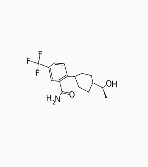 C[C@H](O)C1CCC(c2ccc(C(F)(F)F)cc2C(N)=O)CC1